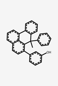 CC1(c2ccccc2)c2ccccc2-c2cccc3ccc(-c4cccc(O)c4)c1c23